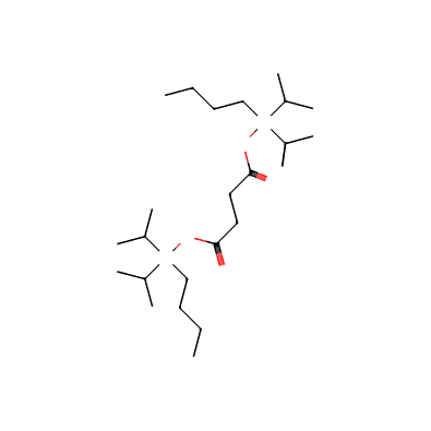 CCCC[Si](OC(=O)CCC(=O)O[Si](CCCC)(C(C)C)C(C)C)(C(C)C)C(C)C